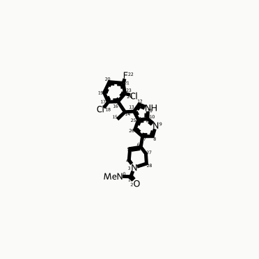 CNC(=O)N1CC=C(c2cnc3[nH]cc(C(C)c4c(Cl)ccc(F)c4Cl)c3c2)CC1